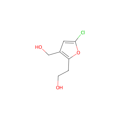 OCCc1oc(Cl)cc1CO